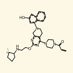 C=CC(=O)N1CCN(c2nc(OCCNC3CCC[C@@H]3C)nc3c2CCN(c2cc(O)cc4ccccc24)C3)CC1